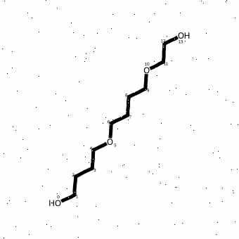 OCCCCOCCCCOCCO